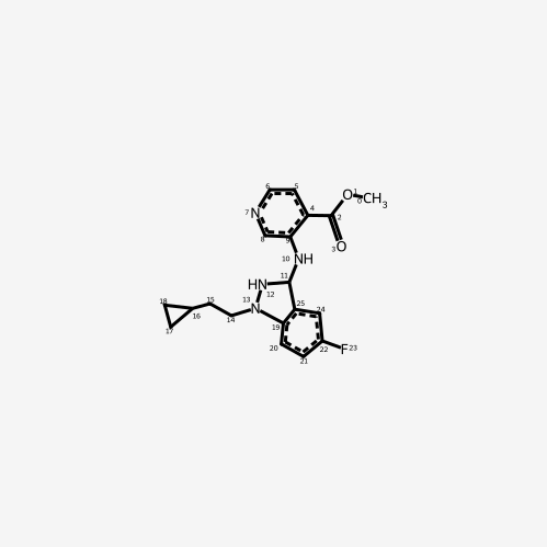 COC(=O)c1ccncc1NC1NN(CCC2CC2)c2ccc(F)cc21